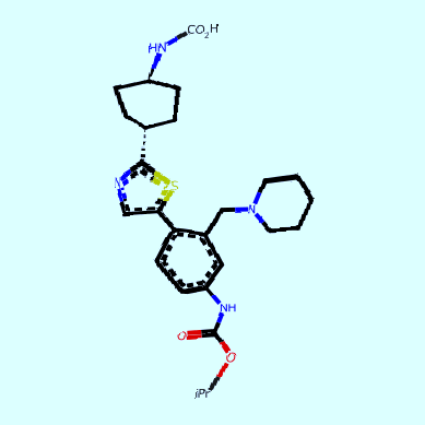 CC(C)OC(=O)Nc1ccc(-c2cnc([C@H]3CC[C@H](NC(=O)O)CC3)s2)c(CN2CCCCC2)c1